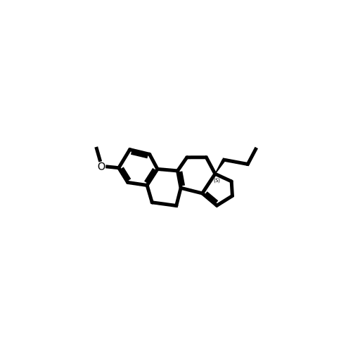 CCC[C@@]12CCC=C1C1=C(CC2)c2ccc(OC)cc2CC1